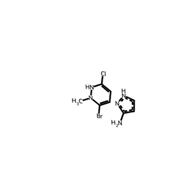 CN1NC(Cl)=CC=C1Br.Nc1cc[nH]n1